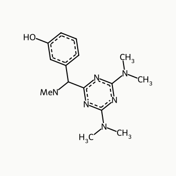 CNC(c1cccc(O)c1)c1nc(N(C)C)nc(N(C)C)n1